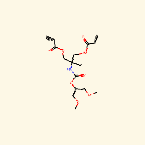 C=CC(=O)OCC(C)(COC(=O)C=C)NC(=O)OC(COC)COC